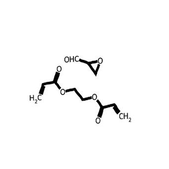 C=CC(=O)OCCOC(=O)C=C.O=CC1CO1